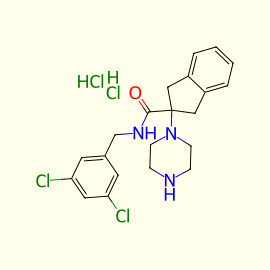 Cl.Cl.O=C(NCc1cc(Cl)cc(Cl)c1)C1(N2CCNCC2)Cc2ccccc2C1